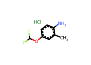 Cc1cc(OC(F)F)ccc1N.Cl